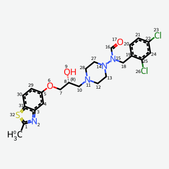 Cc1nc2cc(OC[C@H](O)CN3CCN(N(C=O)Cc4ccc(Cl)cc4Cl)CC3)ccc2s1